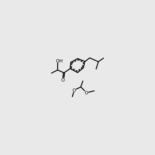 CC(C)Cc1ccc(C(=O)C(C)O)cc1.COC(C)OC